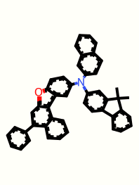 CC1(C)c2ccccc2-c2ccc(N(c3ccc4ccccc4c3)c3ccc4oc5cc(-c6ccccc6)c6ccccc6c5c4c3)cc21